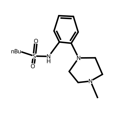 CCCCS(=O)(=O)Nc1ccccc1N1CCN(C)CC1